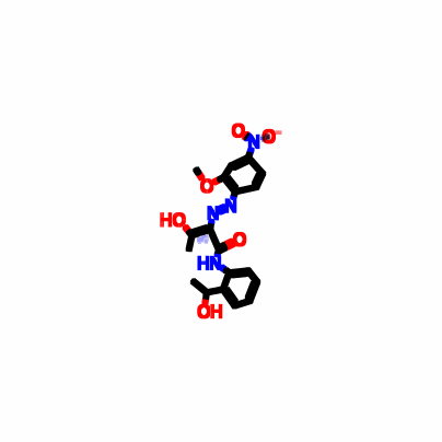 COc1cc([N+](=O)[O-])ccc1N=N/C(C(=O)Nc1ccccc1C(C)O)=C(/C)O